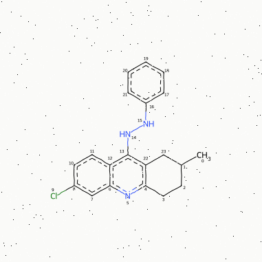 CC1CCc2nc3cc(Cl)ccc3c(NNc3ccccc3)c2C1